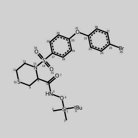 CC(C)(C)[Si](C)(C)ONC(=O)C1CSCCN1S(=O)(=O)c1ccc(Oc2ccc(Br)cc2)cc1